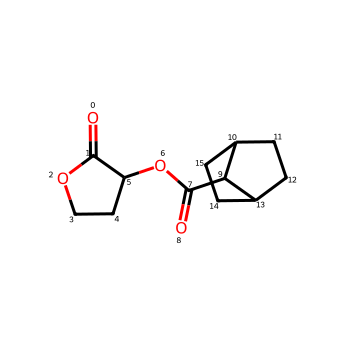 O=C1OCCC1OC(=O)C1C2CCC1CC2